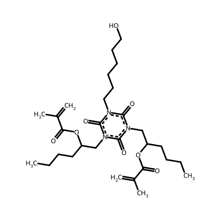 C=C(C)C(=O)OC(CCCC)Cn1c(=O)n(CCCCCCO)c(=O)n(CC(CCCC)OC(=O)C(=C)C)c1=O